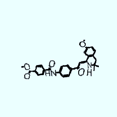 COC(=O)c1ccc(C(=O)Nc2ccc(C(=O)C=C3NC(C)(C)Cc4ccc(OC)cc43)cc2)cc1